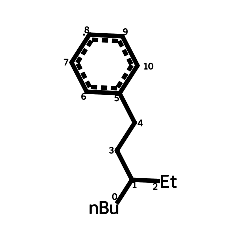 CCCCC(CC)CCc1cc[c]cc1